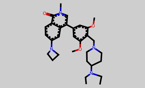 CCN(CC)C1CCN(Cc2c(OC)cc(-c3cn(C)c(=O)c4ccc(N5CCC5)cc34)cc2OC)CC1